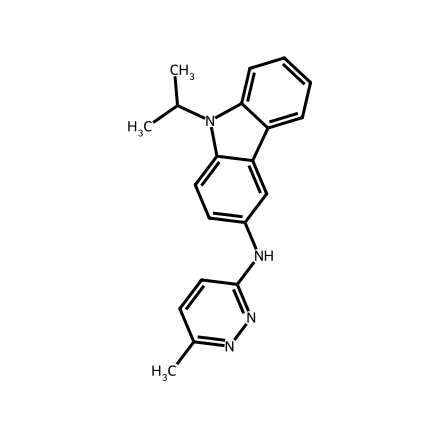 Cc1ccc(Nc2ccc3c(c2)c2ccccc2n3C(C)C)nn1